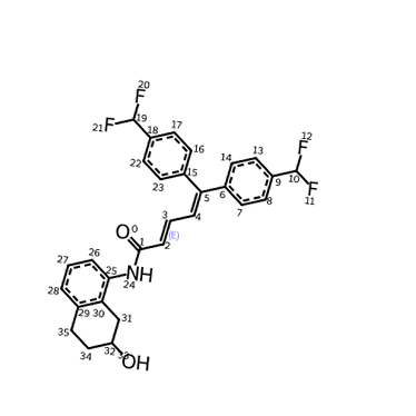 O=C(/C=C/C=C(c1ccc(C(F)F)cc1)c1ccc(C(F)F)cc1)Nc1cccc2c1CC(O)CC2